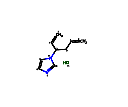 C=CCC(C=C)n1ccnc1.Cl